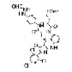 CCCCCCCCCCCCC(Cl)C(=O)Nc1cccc(NC2=NN(c3c(Cl)cc(Cl)cc3Cl)C(=O)C2SCCC(=O)Nc2ccc(NNC=O)cc2)c1